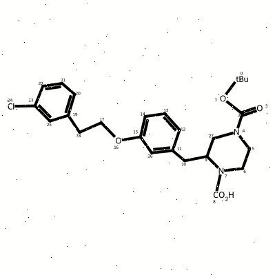 CC(C)(C)OC(=O)N1CCN(C(=O)O)C(Cc2cccc(OCCc3cccc(Cl)c3)c2)C1